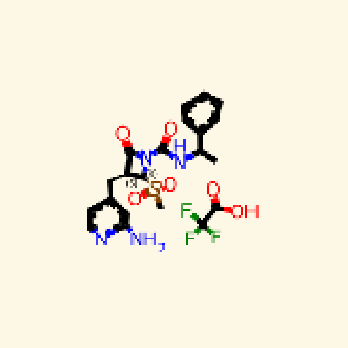 CC(NC(=O)N1C(=O)[C@H](Cc2ccnc(N)c2)[C@H]1S(C)(=O)=O)c1ccccc1.O=C(O)C(F)(F)F